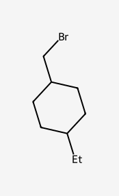 CCC1CCC(CBr)CC1